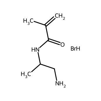 Br.C=C(C)C(=O)NC(C)CN